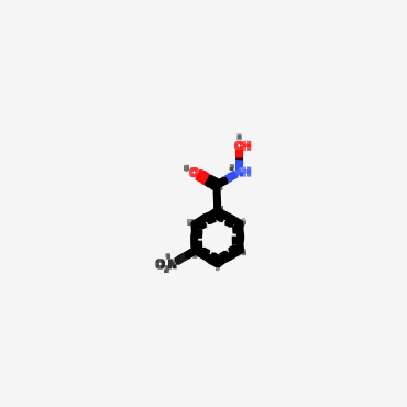 O=C(NO)c1cccc([N+](=O)[O-])c1